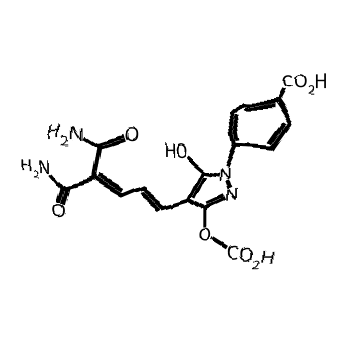 NC(=O)C(=CC=Cc1c(OC(=O)O)nn(-c2ccc(C(=O)O)cc2)c1O)C(N)=O